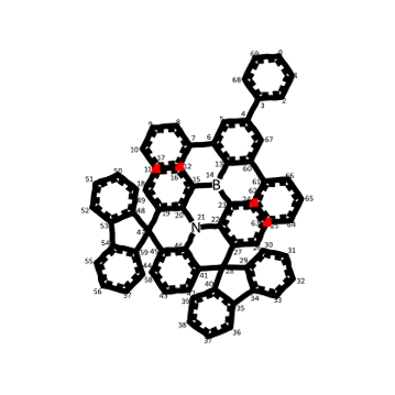 c1ccc(-c2cc(-c3ccccc3)c(B3c4cccc5c4N4c6c3cccc6C3(c6ccccc6-c6ccccc63)c3cccc(c34)C53c4ccccc4-c4ccccc43)c(-c3ccccc3)c2)cc1